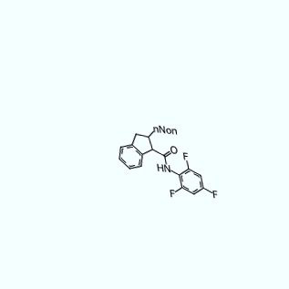 CCCCCCCCCC1Cc2ccccc2C1C(=O)Nc1c(F)cc(F)cc1F